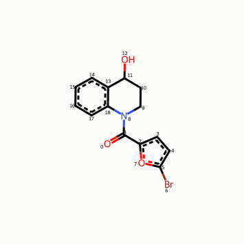 O=C(c1ccc(Br)o1)N1CCC(O)c2ccccc21